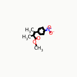 CCOC(=O)/C(C)=C(/C)c1ccc([N+](=O)[O-])cc1